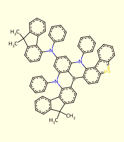 CC1(C)c2ccccc2-c2c(N(c3ccccc3)c3cc4c5c(c3)N(c3ccccc3)c3c(ccc6sc7ccccc7c36)B5c3ccc5c(c3N4c3ccccc3)-c3ccccc3C5(C)C)cccc21